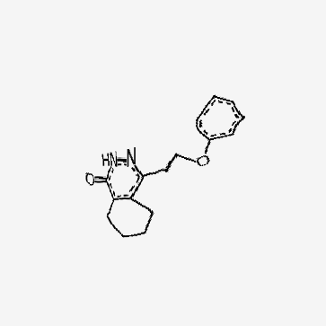 O=c1[nH]nc(CCOc2ccccc2)c2c1CCCC2